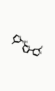 Cc1ccnc(Nc2cccc(-c3ccnc(F)c3)n2)c1